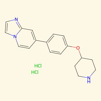 Cl.Cl.c1cn2ccc(-c3ccc(OC4CCNCC4)cc3)cc2n1